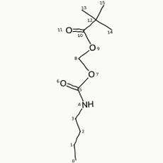 CCCCNC(=O)OCOC(=O)C(C)(C)C